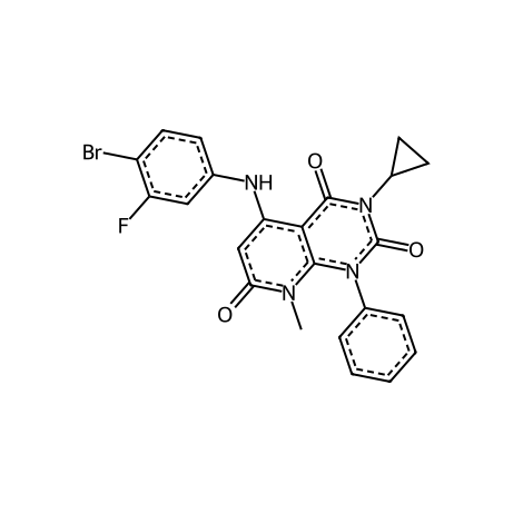 Cn1c(=O)cc(Nc2ccc(Br)c(F)c2)c2c(=O)n(C3CC3)c(=O)n(-c3ccccc3)c21